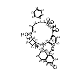 O=C1NS(=O)(=O)C[C@@H](c2ccccc2)C/C=C/[C@H](O)[C@@H]2CC[C@H]2CN2C[C@@]3(CCCc4cc(Cl)ccc43)COc3ccc1cc32